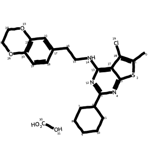 Cc1sc2nc(C3CCCCC3)nc(NCCc3ccc4c(c3)OCCO4)c2c1Cl.O=C(O)O